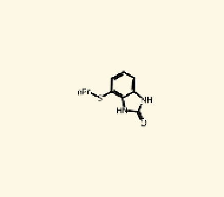 CCCSc1cccc2[nH]c(=O)[nH]c12